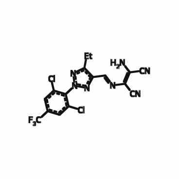 CCc1nn(-c2c(Cl)cc(C(F)(F)F)cc2Cl)nc1C=NC(C#N)=C(N)C#N